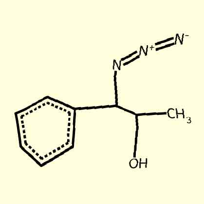 CC(O)C(N=[N+]=[N-])c1ccccc1